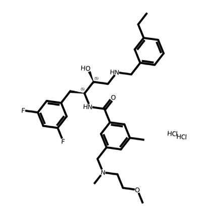 CCc1cccc(CNC[C@H](O)[C@H](Cc2cc(F)cc(F)c2)NC(=O)c2cc(C)cc(CN(C)CCOC)c2)c1.Cl.Cl